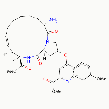 COC(=O)c1cc(O[C@@H]2C[C@H]3C(=O)N[C@]4(C(=O)OC)C[C@H]4/C=C\CCCCC[C@H](N)C(=O)N3C2)c2ccc(OC)cc2n1